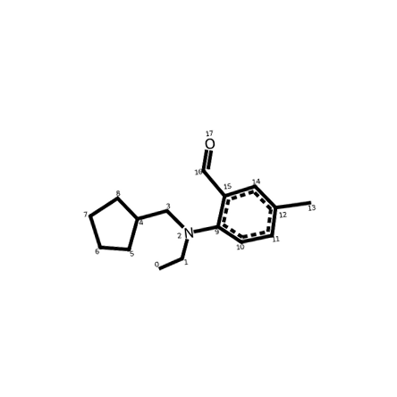 CCN(CC1CCCC1)c1ccc(C)cc1C=O